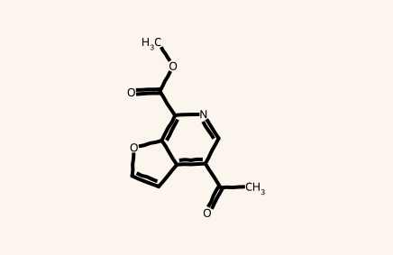 COC(=O)c1ncc(C(C)=O)c2ccoc12